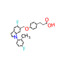 Cc1cc(F)ccc1-n1ccc2cc(F)c(COc3ccc(CCC(=O)O)cc3)cc21